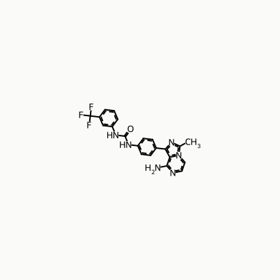 Cc1nc(-c2ccc(NC(=O)Nc3cccc(C(F)(F)F)c3)cc2)c2c(N)nccn12